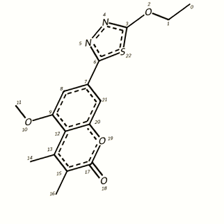 CCOc1nnc(-c2cc(OC)c3c(C)c(C)c(=O)oc3c2)s1